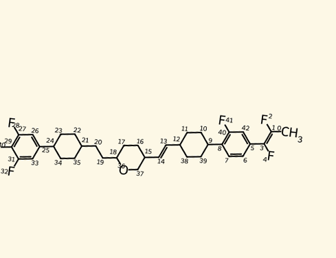 C/C(F)=C(\F)c1ccc(C2CCC(/C=C/C3CCC(CCC4CCC(c5cc(F)c(F)c(F)c5)CC4)OC3)CC2)c(F)c1